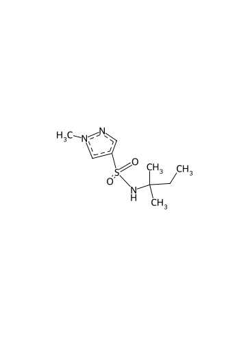 CCC(C)(C)NS(=O)(=O)c1cnn(C)c1